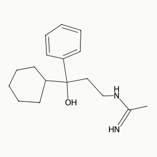 CC(=N)NCCC(O)(c1ccccc1)C1CCCCC1